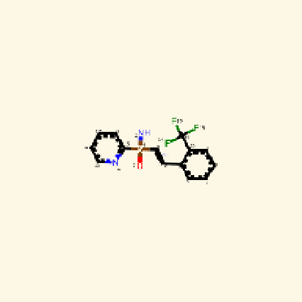 N=S(=O)(/C=C/c1ccccc1C(F)(F)F)c1ccccn1